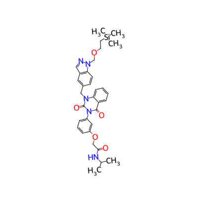 CC(C)NC(=O)COc1cccc(-n2c(=O)c3ccccc3n(Cc3ccc4c(cnn4COCC[Si](C)(C)C)c3)c2=O)c1